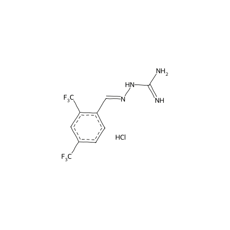 Cl.N=C(N)N/N=C/c1ccc(C(F)(F)F)cc1C(F)(F)F